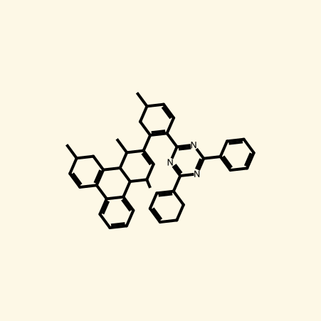 CC1C=CC(c2nc(C3=CC=CCC3)nc(-c3ccccc3)n2)=C(C2=CC(C)C3c4ccccc4C4=C(CC(C)C=C4)C3C2C)C1